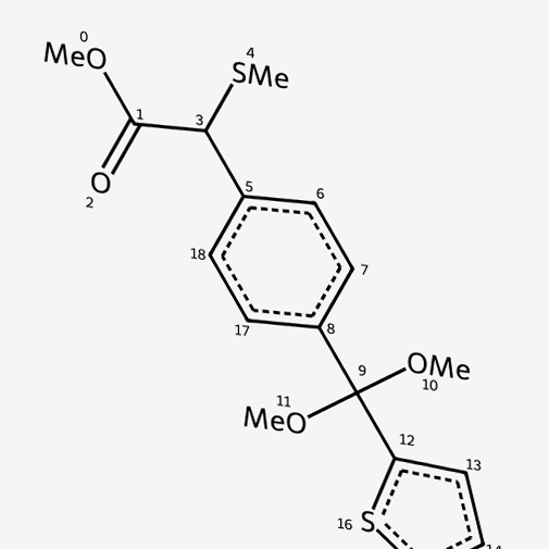 COC(=O)C(SC)c1ccc(C(OC)(OC)c2cccs2)cc1